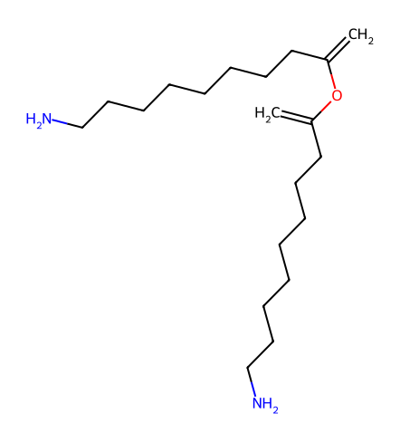 C=C(CCCCCCCCN)OC(=C)CCCCCCCCN